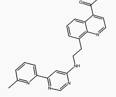 CNC(=O)c1ccnc2c(CCNc3cc(-c4cccc(C)n4)ncn3)cccc12